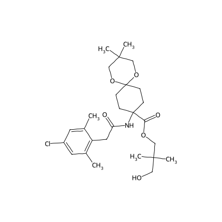 Cc1cc(Cl)cc(C)c1CC(=O)NC1(C(=O)OCC(C)(C)CO)CCC2(CC1)OCC(C)(C)CO2